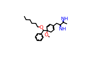 CCCCCCOC(c1ccccc1)C1(OC)C=CC(CC(=N)C(C)=N)=CC1